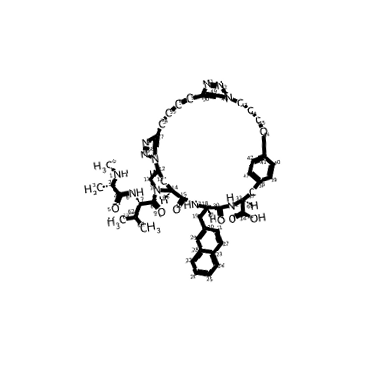 CN[C@@H](C)C(=O)N[C@H](C(=O)N1C[C@@H]2C[C@H]1C(=O)N[C@@H](Cc1ccc3ccccc3c1)C(=O)N[C@H](C(=O)O)Cc1ccc(cc1)OCCCn1cc(nn1)CCCCc1cn2nn1)C(C)C